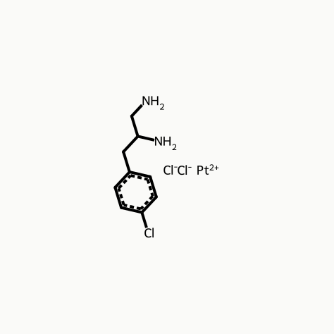 NCC(N)Cc1ccc(Cl)cc1.[Cl-].[Cl-].[Pt+2]